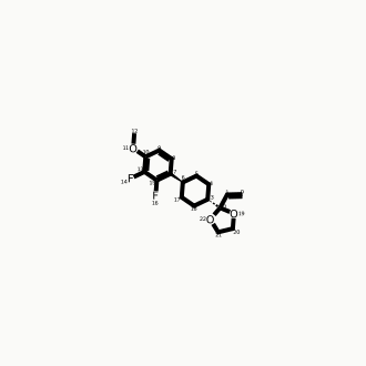 C=CC1([C@H]2CC[C@H](c3ccc(OC)c(F)c3F)CC2)OCCO1